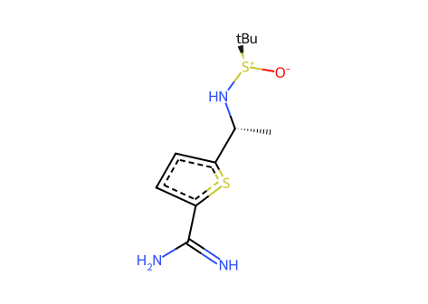 C[C@@H](N[S@+]([O-])C(C)(C)C)c1ccc(C(=N)N)s1